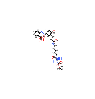 CC(C)(C)OC(=O)NNC(=O)CCCCCNC(=O)CCc1cc(N=Nc2ccccc2C(=O)O)ccc1O